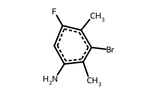 Cc1c(N)cc(F)c(C)c1Br